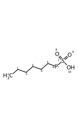 CCCCCC[P]S(=O)(=O)O